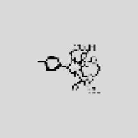 CC(C)(C)OC(=O)N1CC(c2ccc(F)cc2)N(CC(=O)O)C(=O)C12COCCOC2